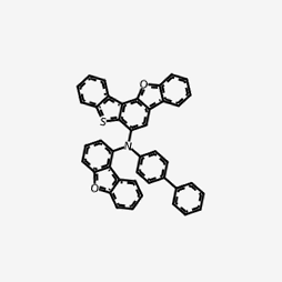 c1ccc(-c2ccc(N(c3cc4c5ccccc5oc4c4c3sc3ccccc34)c3cccc4oc5ccccc5c34)cc2)cc1